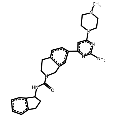 CN1CCN(c2cc(-c3ccc4c(c3)CN(C(=O)NC3CCc5ccccc53)CC4)nc(N)n2)CC1